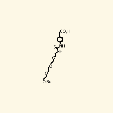 CC(C)COCCOCCOCCOCCNC(=S)Nc1ccc(CC(=O)O)cc1